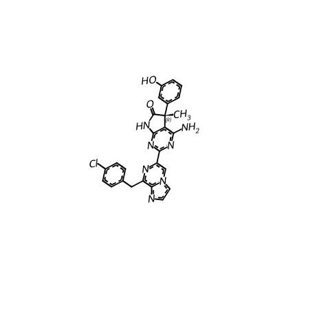 C[C@]1(c2cccc(O)c2)C(=O)Nc2nc(-c3cn4ccnc4c(Cc4ccc(Cl)cc4)n3)nc(N)c21